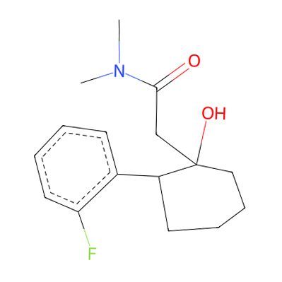 CN(C)C(=O)CC1(O)CCCCC1c1ccccc1F